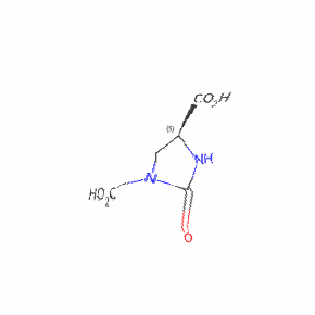 O=C(O)[C@@H]1CN(C(=O)O)C(=O)N1